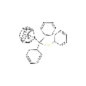 c1ccc(SC(c2ccccc2)(c2ccccc2)[C]23[CH]4[CH]5[CH]6[CH]2[Fe]56432789[CH]3[CH]2[CH]7[CH]8[CH]39)cc1